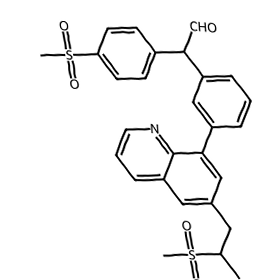 CC(Cc1cc(-c2cccc(C(C=O)c3ccc(S(C)(=O)=O)cc3)c2)c2ncccc2c1)S(C)(=O)=O